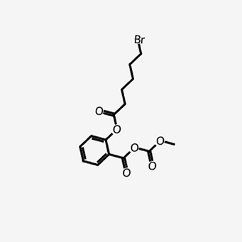 COC(=O)OC(=O)c1ccccc1OC(=O)CCCCCBr